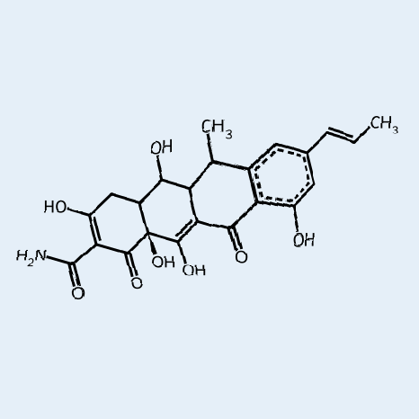 C/C=C/c1cc(O)c2c(c1)C(C)C1C(=C(O)[C@]3(O)C(=O)C(C(N)=O)=C(O)CC3C1O)C2=O